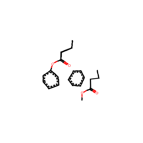 CCCC(=O)OC.CCCC(=O)Oc1ccccc1.c1ccccc1